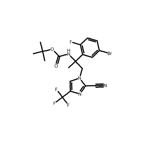 CC(C)(C)OC(=O)NC(C)(Cn1cc(C(F)(F)F)nc1C#N)c1cc(Br)ccc1F